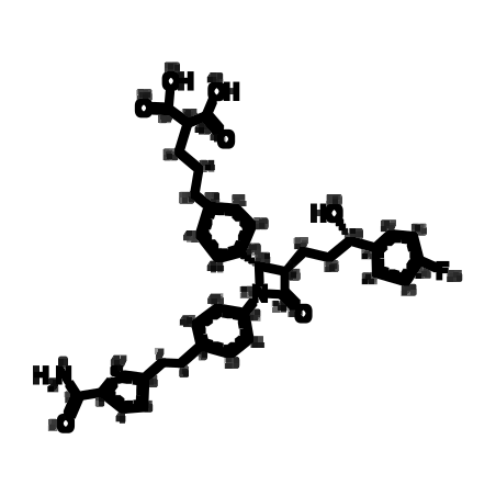 NC(=O)c1ccc(CCc2ccc(N3C(=O)[C@H](CC[C@H](O)c4ccc(F)cc4)[C@H]3c3ccc(CCCC(C(=O)O)C(=O)O)cc3)cc2)s1